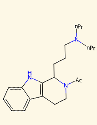 CCCN(CCC)CCCC1c2[nH]c3ccccc3c2CCN1C(C)=O